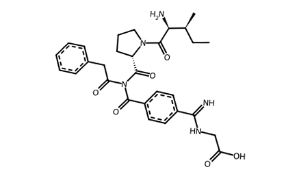 CC[C@H](C)[C@H](N)C(=O)N1CCC[C@H]1C(=O)N(C(=O)Cc1ccccc1)C(=O)c1ccc(C(=N)NCC(=O)O)cc1